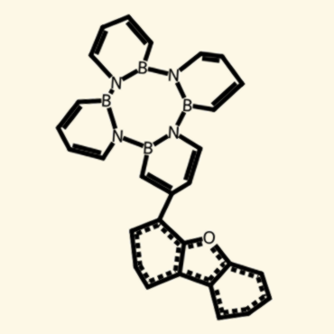 C1=CB2N(C=C1)B1C=CC=CN1B1C=C(c3cccc4c3oc3ccccc34)C=CN1B1C=CC=CN21